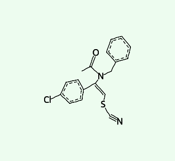 CC(=O)N(Cc1ccccc1)C(=CSC#N)c1ccc(Cl)cc1